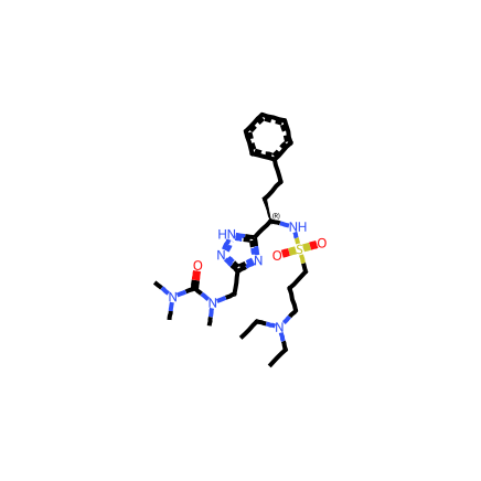 CCN(CC)CCCS(=O)(=O)N[C@H](CCc1ccccc1)c1nc(CN(C)C(=O)N(C)C)n[nH]1